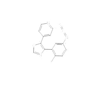 Cc1ccc(N=C=S)cc1-c1n[c]oc1-c1ccncc1